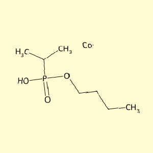 CCCCOP(=O)(O)C(C)C.[Co]